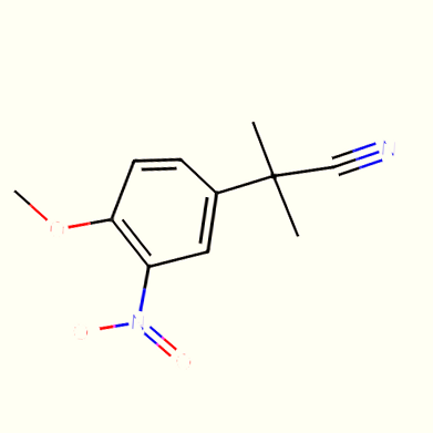 COc1ccc(C(C)(C)C#N)cc1[N+](=O)[O-]